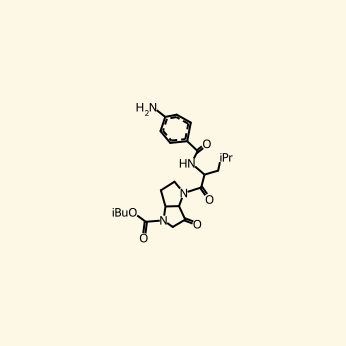 CC(C)COC(=O)N1CC(=O)C2C1CCN2C(=O)C(CC(C)C)NC(=O)c1ccc(N)cc1